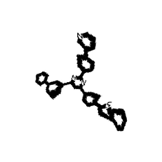 c1ccc(-c2cccc(-c3cc(-c4ccc(-c5cc6ccccc6s5)cc4)nc(-c4ccc(-c5cccnc5)cc4)n3)c2)cc1